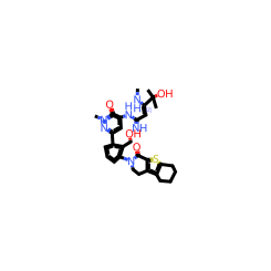 CN/C(=C\C(=N)Nc1cc(-c2cccc(N3CCc4c(sc5c4CCCC5)C3=O)c2CO)nn(C)c1=O)C(C)(C)O